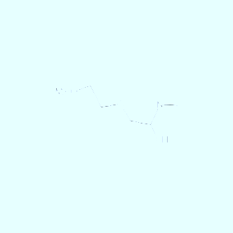 COCCOCC(C)NI